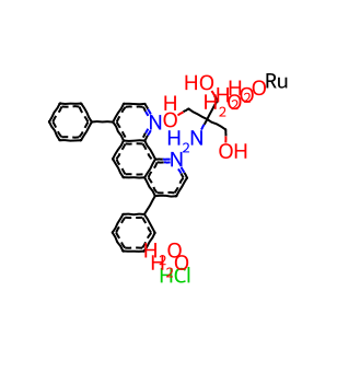 Cl.NC(CO)(CO)CO.O.O.O.O.O.[Ru].c1ccc(-c2ccnc3c2ccc2c(-c4ccccc4)ccnc23)cc1